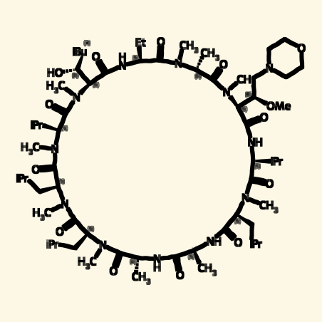 CC[C@@H]1NC(=O)[C@H]([C@H](O)[C@H](C)CC)N(C)C(=O)[C@H](C(C)C)N(C)C(=O)[C@H](CC(C)C)N(C)C(=O)[C@H](CC(C)C)N(C)C(=O)[C@@H](C)NC(=O)[C@H](C)NC(=O)[C@H](CC(C)C)N(C)C(=O)[C@H](C(C)C)NC(=O)[C@H]([C@@H](CN2CCOCC2)OC)N(C)C(=O)[C@@H](C)N(C)C1=O